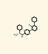 C[C@@H](Nc1cnc(-c2cccc(-c3ccccc3)c2F)cn1)c1ccccc1